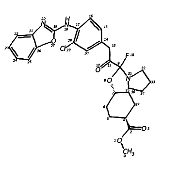 COC(=O)[C@H]1CC[C@H](OC(F)(C(=O)Cc2ccc(Nc3nc4ccccc4o3)c(Cl)c2)N2CCCC2)CC1